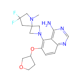 CN1CC(F)(F)CC12CN(c1c(OC3CCOC3)ccc3ncnc(N)c13)C2